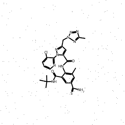 Cc1nnn(Cc2cc(C(=O)Nc3c(C)cc(C(N)=S)cc3C(=O)NC(C)(C)C)n(-c3ncccc3Cl)n2)n1